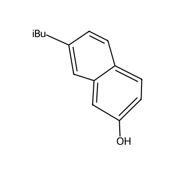 CCC(C)c1ccc2ccc(O)cc2c1